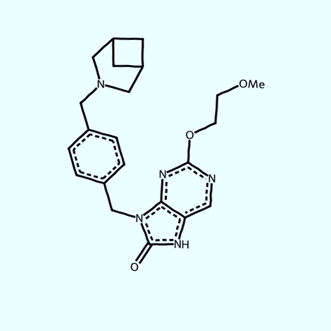 COCCOc1ncc2[nH]c(=O)n(Cc3ccc(CN4CC5CC(C5)C4)cc3)c2n1